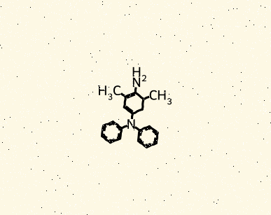 CC1=C(N)C(C)CC(N(c2ccccc2)c2ccccc2)=C1